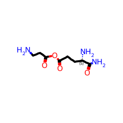 NCCC(=O)OC(=O)CC[C@H](N)C(N)=O